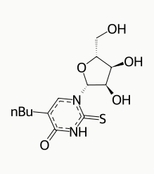 CCCCc1cn([C@@H]2O[C@H](CO)[C@@H](O)[C@H]2O)c(=S)[nH]c1=O